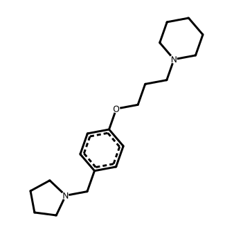 c1cc(OCCCN2CCCCC2)ccc1CN1CCCC1